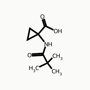 CC(C)(C)C(=O)NC1(C(=O)O)CC1